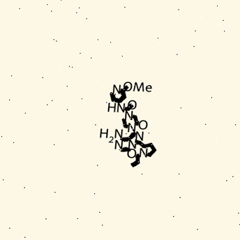 C=CC(=O)N1CCCC1c1nc(N2CCN(C(=O)Nc3ccnc(OC)c3)CC2=O)c2c(N)nccn12